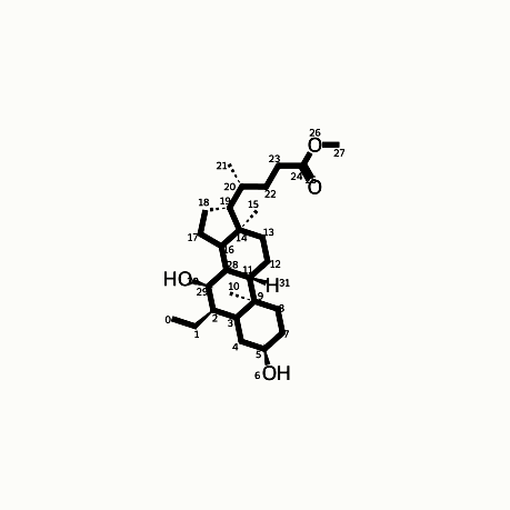 CC[C@@H]1C2C[C@H](O)CC[C@]2(C)[C@H]2CC[C@@]3(C)C(CC[C@@H]3[C@H](C)CCC(=O)OC)C2[C@@H]1O